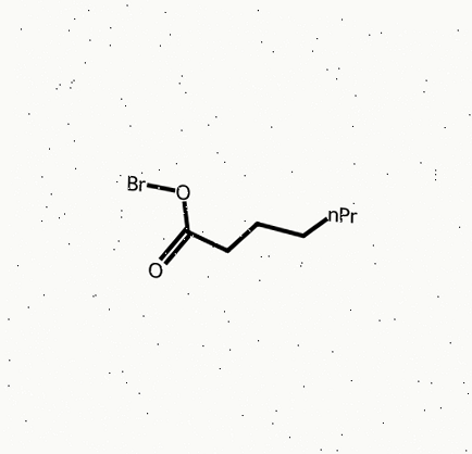 CCCCCCC(=O)OBr